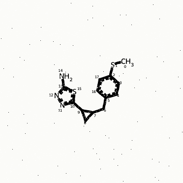 CSc1ccc(CC2CC2c2nnc(N)s2)cc1